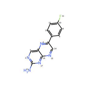 Nc1ncc2nc(-c3ccc(F)cc3)cnc2n1